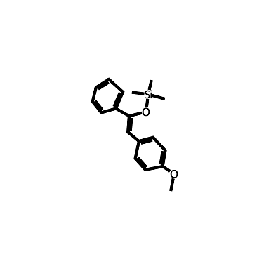 COc1ccc(C=C(O[Si](C)(C)C)c2ccccc2)cc1